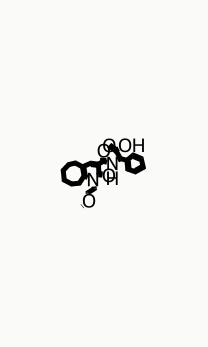 COCCn1c2c(cc(C(=O)NC(C(=O)O)c3ccccc3)c1=O)CCCCCC2